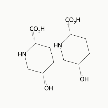 O=C(O)[C@@H]1CC[C@H](O)CN1.O=C(O)[C@@H]1CC[C@H](O)CN1